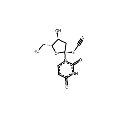 N#CS[C@]1(n2ccc(=O)[nH]c2=O)C[C@H](O)[C@@H](CO)O1